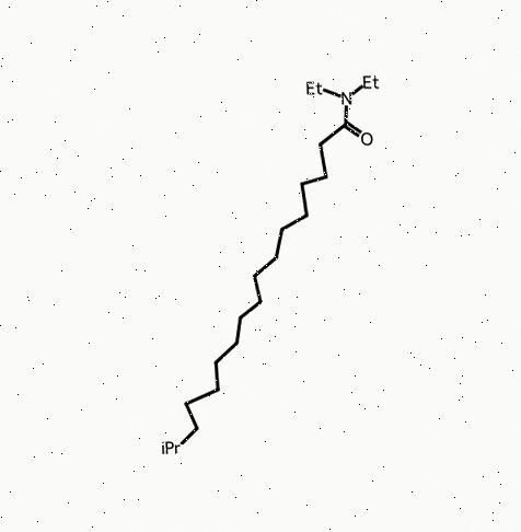 CCN(CC)C(=O)CCCCCCCCCCCCCCC(C)C